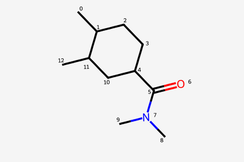 CC1CCC(C(=O)N(C)C)CC1C